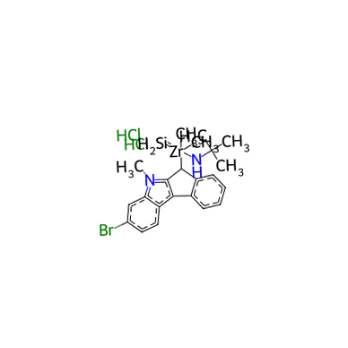 Cl.Cl.Cn1c2c(c3ccc(Br)cc31)-c1ccccc1[CH]2[Zr]([CH3])([CH3])(=[SiH2])[NH]C(C)(C)C